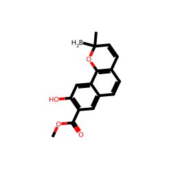 BC1(C)C=Cc2ccc3cc(C(=O)OC)c(O)cc3c2O1